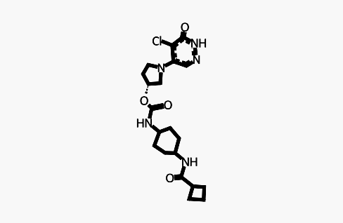 O=C(NC1CCC(NC(=O)C2CCC2)CC1)O[C@@H]1CCN(c2cn[nH]c(=O)c2Cl)C1